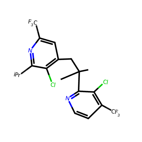 CC(C)c1nc(C(F)(F)F)cc(CC(C)(C)c2nccc(C(F)(F)F)c2Cl)c1Cl